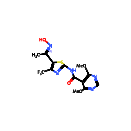 COc1ncnc(OC)c1C(=O)Nc1nc(C(F)(F)F)c(/C(C)=N/O)s1